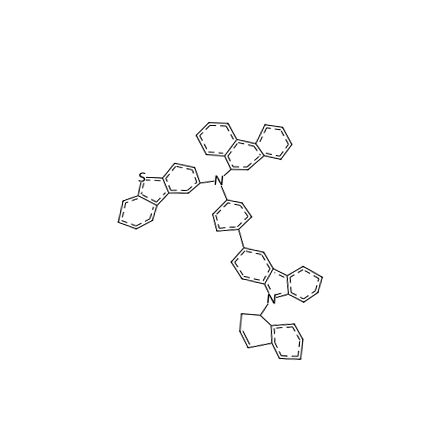 C1=Cc2ccccc2C(n2c3ccccc3c3cc(-c4ccc(N(c5ccc6sc7ccccc7c6c5)c5cc6ccccc6c6ccccc56)cc4)ccc32)C1